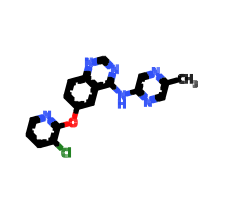 Cc1cnc(Nc2ncnc3ccc(Oc4ncccc4Cl)cc23)cn1